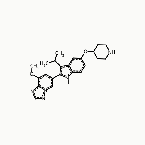 COc1cc(-c2[nH]c3ccc(OC4CCNCC4)cc3c2C(C)C)cn2ncnc12